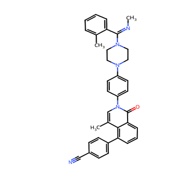 C/N=C(\c1ccccc1C)N1CCN(c2ccc(-n3cc(C)c4c(-c5ccc(C#N)cc5)cccc4c3=O)cc2)CC1